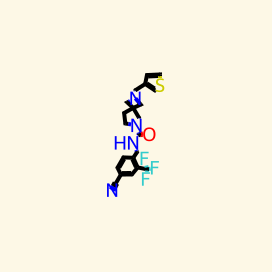 N#Cc1ccc(CNC(=O)N2CCC3(CN(Cc4ccsc4)C3)C2)c(C(F)(F)F)c1